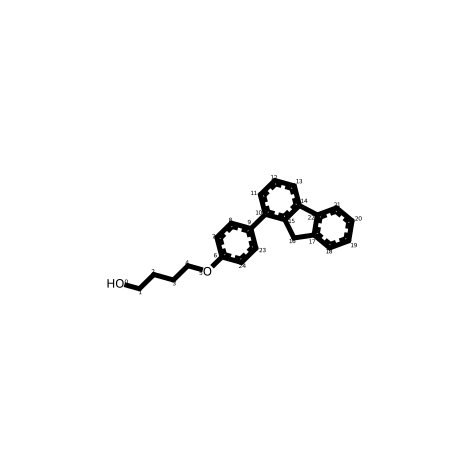 OCCCCOc1ccc(-c2cccc3c2Cc2ccccc2-3)cc1